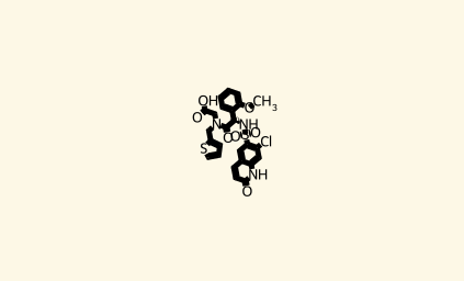 COc1ccccc1[C@@H](NS(=O)(=O)c1cc2ccc(=O)[nH]c2cc1Cl)C(=O)N(CC(=O)O)Cc1cccs1